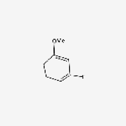 COC1=CC(F)=C[CH]C1